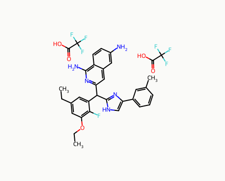 CCOc1cc(CC)cc(C(c2cc3cc(N)ccc3c(N)n2)c2nc(-c3cccc(C)c3)c[nH]2)c1F.O=C(O)C(F)(F)F.O=C(O)C(F)(F)F